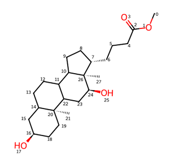 COC(=O)CCC[C@H]1CCC2C3CCC4C[C@H](O)CC[C@]4(C)C3C[C@H](O)[C@@]21C